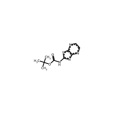 CC(C)(C)OC(=O)Nc1nc2nccnc2s1